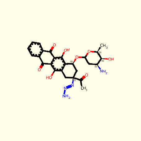 CC(=O)[C@]1(N=NN)Cc2c(O)c3c(c(O)c2[C@@H](OC2C[C@H](N)[C@H](O)[C@H](C)O2)C1)C(=O)c1ccccc1C3=O